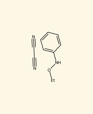 CCONc1ccccc1.N#CC#N